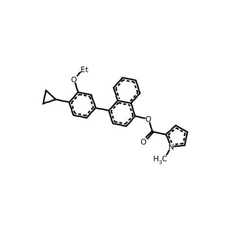 CCOc1cc(-c2ccc(OC(=O)c3cccn3C)c3ccccc23)ccc1C1CC1